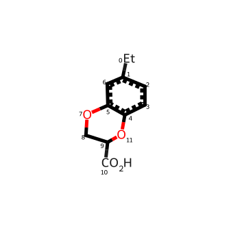 CCc1ccc2c(c1)OCC(C(=O)O)O2